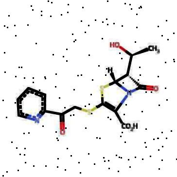 C[C@H](O)[C@@H]1C(=O)N2C(C(=O)O)=C(SCC(=O)c3ccccn3)S[C@H]12